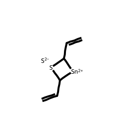 C=C[CH]1S[CH](C=C)[Sn+2]1.[S-2]